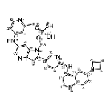 Cc1cc(Nc2cnc3nc(-c4ccc(Nc5ccnc6ccc(N7CCC7)cc56)nc4)n(COP(=O)(O)O)c3c2)ccn1